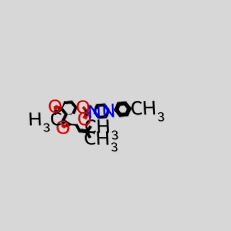 CC(C)=CC[C@H]1O[C@]1(C)[C@H]1C[C@H](OC(=O)N2CCN(c3ccc(C)cc3)CC2)CC[C@]12CO2